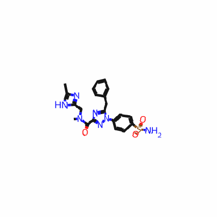 Cc1c[nH]c(CN(C)C(=O)c2nc(Cc3ccccc3)n(-c3ccc(S(N)(=O)=O)cc3)n2)n1